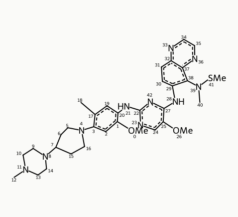 COc1cc(N2CCC(N3CCN(C)CC3)CC2)c(C)cc1Nc1ncc(OC)c(Nc2ccc3nccnc3c2N(C)SC)n1